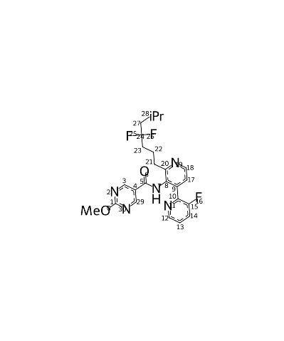 COc1ncc(C(=O)Nc2c(-c3ncccc3F)ccnc2CCCC(F)(F)CC(C)C)cn1